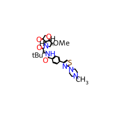 CO[C@H]1CN(C(=O)[C@@H](NC(=O)c2ccc(-c3csc(N4CCN(C)CC4)n3)cc2)C(C)(C)C)[C@@H]2C(=O)CO[C@H]12